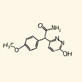 COc1ccc(C(C(N)=O)c2ccc(O)nn2)cc1